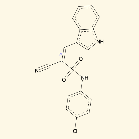 N#C/C(=C/c1c[nH]c2ccccc12)S(=O)(=O)Nc1ccc(Cl)cc1